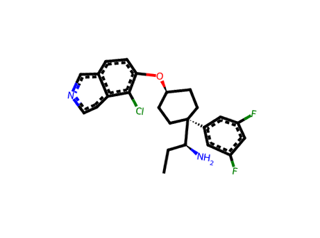 CC[C@H](N)[C@]1(c2cc(F)cc(F)c2)CC[C@H](Oc2ccc3cnccc3c2Cl)CC1